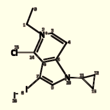 CC[n+]1ccc2c(c(I)cn2C2CC2)c1Cl.[I-]